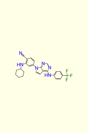 N#Cc1ccc(-n2ccc3c(Nc4ccc(C(F)(F)F)cc4)ncnc32)cc1NC1CCCCC1